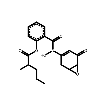 CCCC(C)C(=O)Oc1ccccc1C(=O)N(O)C1=CC(=O)C2OC2C1